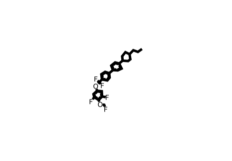 CCCC1CCC(c2ccc(-c3ccc(C(F)(F)Oc4cc(F)c(OCF)c(F)c4)cc3)cc2)CC1